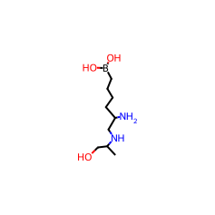 CC(CO)NCC(N)CCCCB(O)O